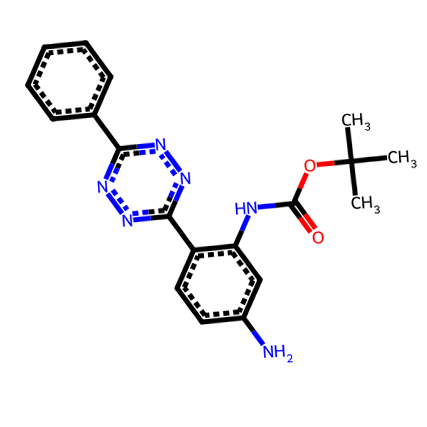 CC(C)(C)OC(=O)Nc1cc(N)ccc1-c1nnc(-c2ccccc2)nn1